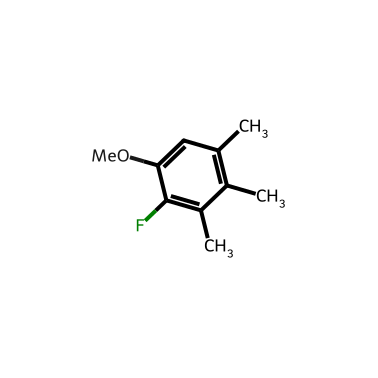 COc1cc(C)c(C)c(C)c1F